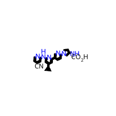 N#Cc1ccnc(Nc2cc(C3CC3)cc(-c3ccc(N4CC[C@@H](NC(=O)O)C4)nc3)n2)c1